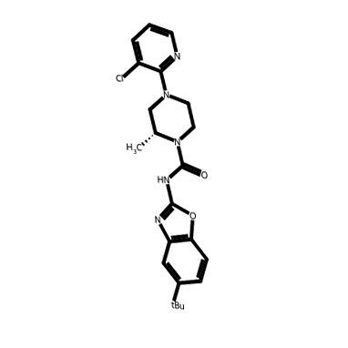 C[C@@H]1CN(c2ncccc2Cl)CCN1C(=O)Nc1nc2cc(C(C)(C)C)ccc2o1